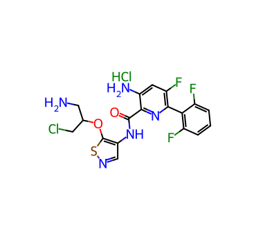 Cl.NCC(CCl)Oc1sncc1NC(=O)c1nc(-c2c(F)cccc2F)c(F)cc1N